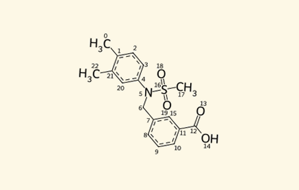 Cc1ccc(N(Cc2cccc(C(=O)O)c2)S(C)(=O)=O)cc1C